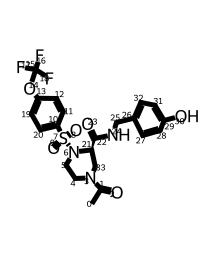 CC(=O)N1CCN(S(=O)(=O)c2ccc(OC(F)(F)F)cc2)[C@@H](C(=O)NCc2ccc(O)cc2)C1